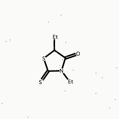 CCC1SC(=S)N(CC)C1=O